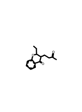 CCC1Oc2ccccc2C(=O)C1CCC(C)=O